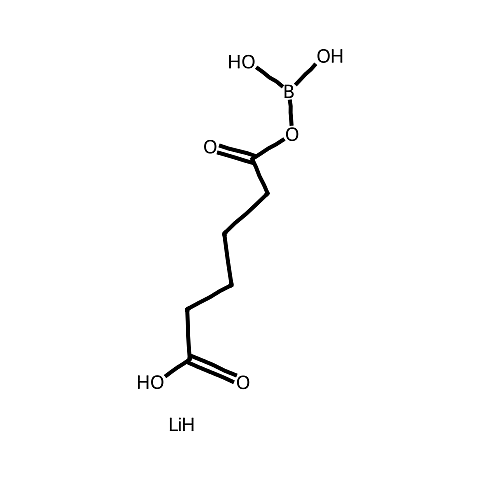 O=C(O)CCCCC(=O)OB(O)O.[LiH]